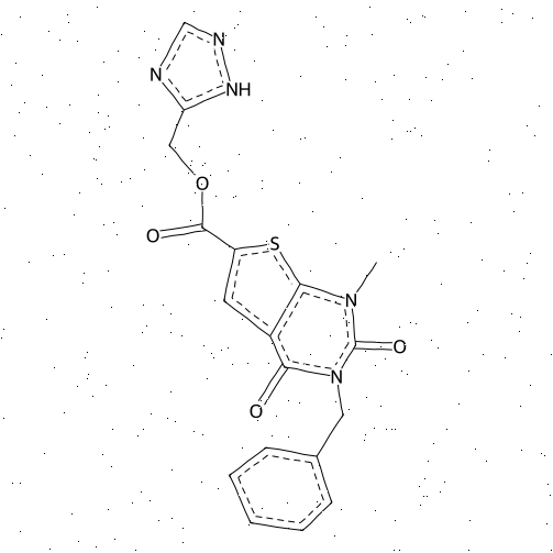 Cn1c(=O)n(Cc2ccccc2)c(=O)c2cc(C(=O)OCc3ncn[nH]3)sc21